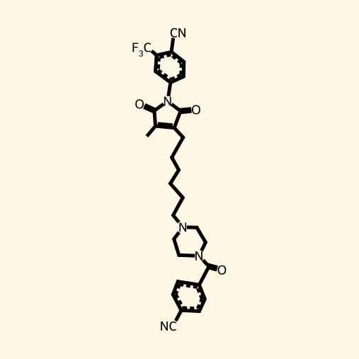 CC1=C(CCCCCCN2CCN(C(=O)c3ccc(C#N)cc3)CC2)C(=O)N(c2ccc(C#N)c(C(F)(F)F)c2)C1=O